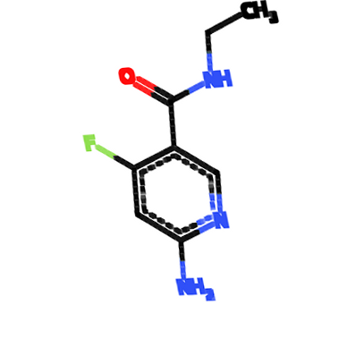 CCNC(=O)c1cnc(N)cc1F